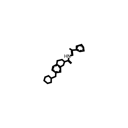 C=C(N/C=C(\C)c1ccccc1)C1CCc2ccc(CC3CCCCC3)cc2C1